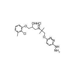 Cc1cccc(OCC(O)CNC(C)(C)COc2ccc(NN)nn2)c1Cl.Cl